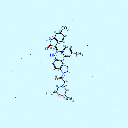 Cc1ccc(/C(Nc2ccc3c(c2)CCN3C(=O)CN2CC(C)OC(C)C2)=C2/C(=O)Nc3cc(C(=O)O)ccc32)cc1